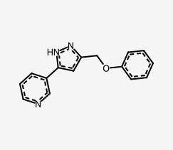 c1ccc(OCc2cc(-c3cccnc3)[nH]n2)cc1